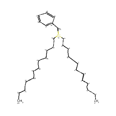 CCCCCCCCCCCC[S+](CCCCCCCCCCCC)Cc1ccccc1